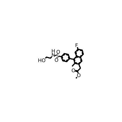 COC(=O)Cc1cc2ccc(F)cc2c(-c2ccc(S(=O)(=O)NCCO)cc2)c1C